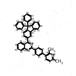 Cc1ccc(-c2ccc(-c3nc(-c4ccc5c(c4)-c4ccccc4C5(c4ccccc4)c4ccccc4)c4ccccc4n3)cc2)c(C)n1